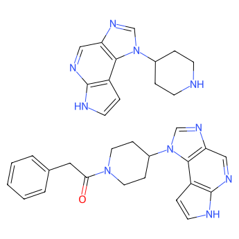 O=C(Cc1ccccc1)N1CCC(n2cnc3cnc4[nH]ccc4c32)CC1.c1cc2c(ncc3ncn(C4CCNCC4)c32)[nH]1